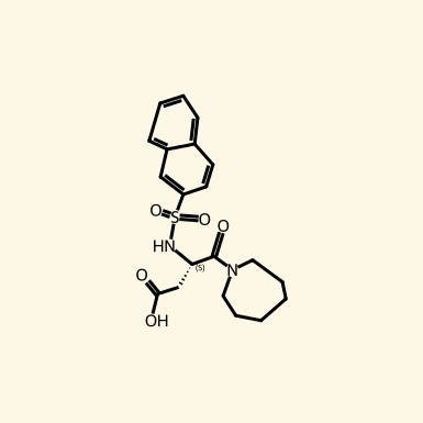 O=C(O)C[C@H](NS(=O)(=O)c1ccc2ccccc2c1)C(=O)N1CCCCCC1